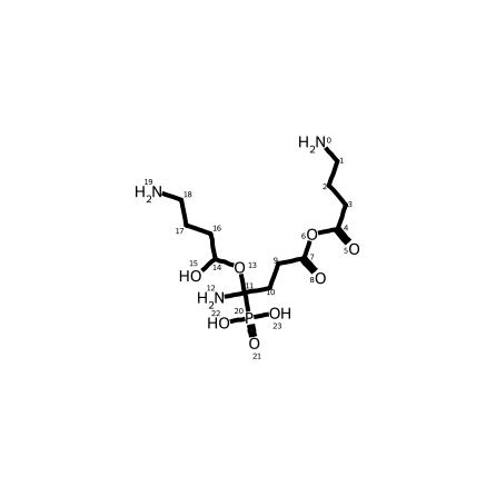 NCCCC(=O)OC(=O)CCC(N)(OC(O)CCCN)P(=O)(O)O